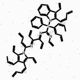 C=C/C=C\c1c(/C=C\C)c(C=C)n(C(=C/C=C)/N=C(C=C)/C(C=C)=N/C(=N\C=C)S(C(/C=C\C)=C/C=C)(c2ccccc2)n2c(/C=C\C=C)c(C=C)c3ccccc32)c1C=C